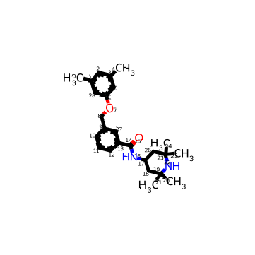 Cc1cc(C)cc(OCc2cccc(C(=O)NC3CC(C)(C)NC(C)(C)C3)c2)c1